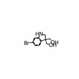 OCC1(CO)CNc2cc(Br)ccc21